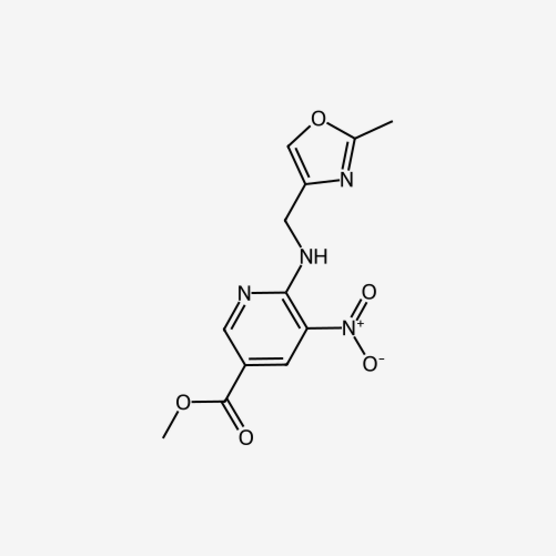 COC(=O)c1cnc(NCc2coc(C)n2)c([N+](=O)[O-])c1